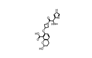 CNC(C(=O)N1CC(Oc2ccc3c(c2C(=O)O)OB(O)CC3)C1)c1c[nH]cn1